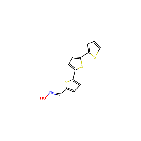 ON=Cc1ccc(-c2ccc(-c3cccs3)s2)s1